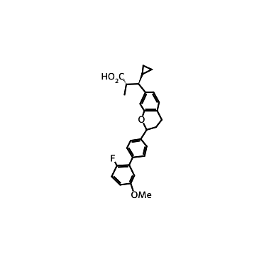 COc1ccc(F)c(-c2ccc(C3CCc4ccc([C@H](C5CC5)[C@H](C)C(=O)O)cc4O3)cc2)c1